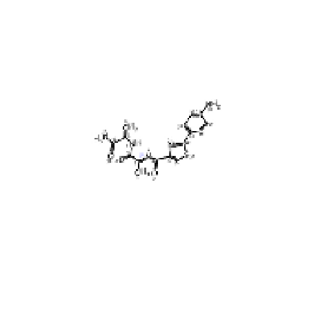 C=C(NC(=O)/C(C)=N/C(=O)c1csc(-c2ccc(N)cc2)n1)C(N)=O